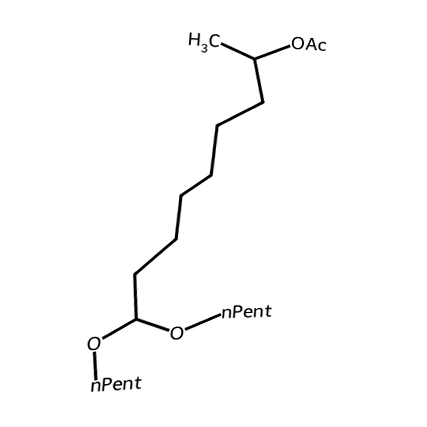 CCCCCOC(CCCCCCC(C)OC(C)=O)OCCCCC